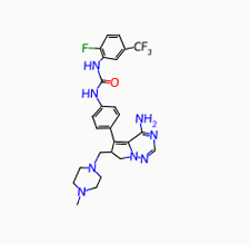 CN1CCN(CC2CN3N=CN=C(N)C3=C2c2ccc(NC(=O)Nc3cc(C(F)(F)F)ccc3F)cc2)CC1